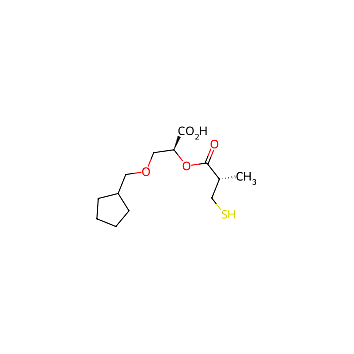 C[C@H](CS)C(=O)O[C@@H](COCC1CCCC1)C(=O)O